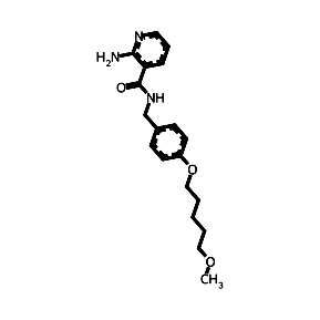 COCCCCCOc1ccc(CNC(=O)c2cccnc2N)cc1